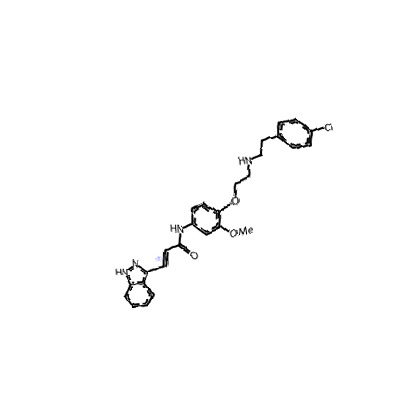 COc1cc(NC(=O)/C=C/c2n[nH]c3ccccc23)ccc1OCCNCCc1ccc(Cl)cc1